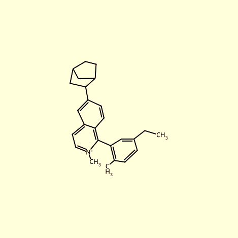 CCc1ccc(C)c(-c2c3ccc(C4CC5CCC4C5)cc3cc[n+]2C)c1